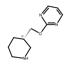 c1cnc(OC[C@H]2CCCNC2)nc1